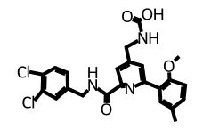 COc1ccc(C)cc1-c1cc(CNC(=O)O)cc(C(=O)NCc2ccc(Cl)c(Cl)c2)n1